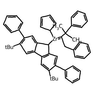 CC(C)(C)c1cc2c(cc1-c1ccccc1)[CH]([Zr](=[C](Cc1ccccc1)C(C)(C)c1ccccc1)[CH]1C=CC=C1)c1cc(-c3ccccc3)c(C(C)(C)C)cc1-2